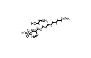 CCCCCCCCCCCCCCCCCCOCC(COP(=O)(O)O)OO.NCCO